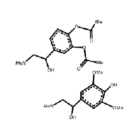 CNCC(O)c1cc(OC)c(O)c(OC)c1.CNCC(O)c1ccc(OC(=O)C(C)(C)C)c(OC(=O)C(C)(C)C)c1